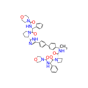 C[C@H](NC(=O)[C@@H]1CCCN1C(=O)[C@H](NC(=O)N1CCOCC1)c1ccccc1)c1ccc(-c2ccc(-c3cnc([C@@H]4CCCN4C(=O)[C@H](NC(=O)N4CCOCC4)c4ccccc4)[nH]3)cc2)cc1